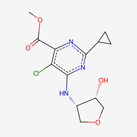 COC(=O)c1nc(C2CC2)nc(N[C@H]2COC[C@H]2O)c1Cl